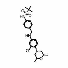 CC1CN(c2ccc(NCc3ccc(NS(=O)(=O)C(C)(C)C)cc3)cc2Cl)CC(C)O1